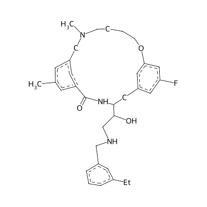 CCc1cccc(CNCC(O)C2Cc3cc(F)cc(c3)OCCCCN(C)Cc3cc(C)cc(c3)C(=O)N2)c1